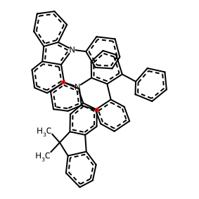 CC1(C)c2ccccc2-c2ccc(N(c3cccc(-c4ccccc4)c3-c3ccccc3-c3ccccc3)c3cccc4c5ccccc5n(-c5ccccc5)c34)cc21